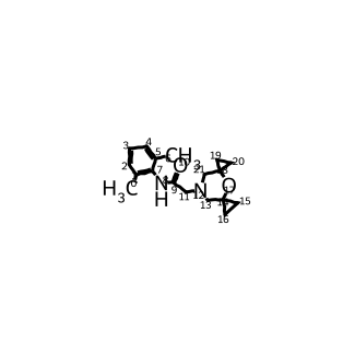 Cc1cccc(C)c1NC(=O)CN1CC2(CC2)OC2(CC2)C1